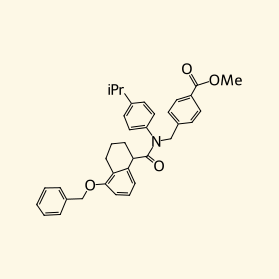 COC(=O)c1ccc(CN(C(=O)C2CCCc3c(OCc4ccccc4)cccc32)c2ccc(C(C)C)cc2)cc1